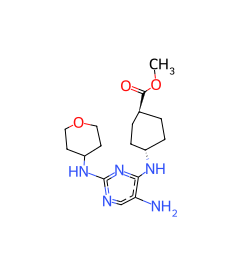 COC(=O)[C@H]1CC[C@H](Nc2nc(NC3CCOCC3)ncc2N)CC1